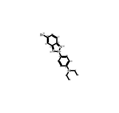 CCN(CC)c1ccc(-n2nc3ccc(Br)cc3n2)cc1